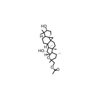 CC(=O)OCC1(C)C[C@@H](C)C2[C@H](O1)[C@H](O)[C@@]1(C)[C@@H]3CC[C@H]4C(C)(C)[C@@H](O)CC[C@@]45C[C@@]35CC[C@]21C